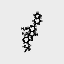 CC1(c2cccc(OC(F)(F)F)c2)C(=O)Nc2nc(-c3cn4ccnc4cn3)nc(N)c21